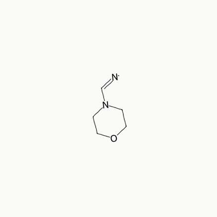 [N]=CN1CCOCC1